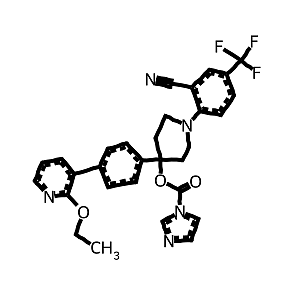 CCOc1ncccc1-c1ccc(C2(OC(=O)n3ccnc3)CCN(c3ccc(C(F)(F)F)cc3C#N)CC2)cc1